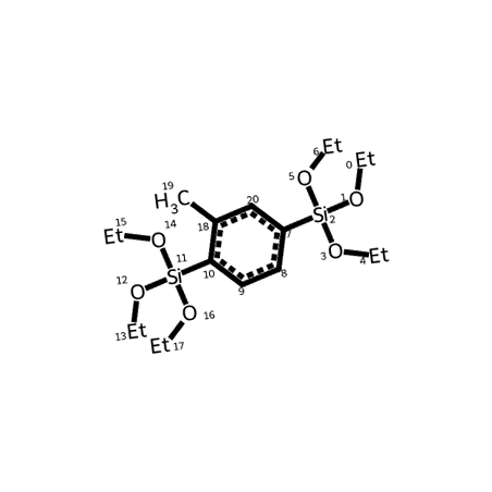 CCO[Si](OCC)(OCC)c1ccc([Si](OCC)(OCC)OCC)c(C)c1